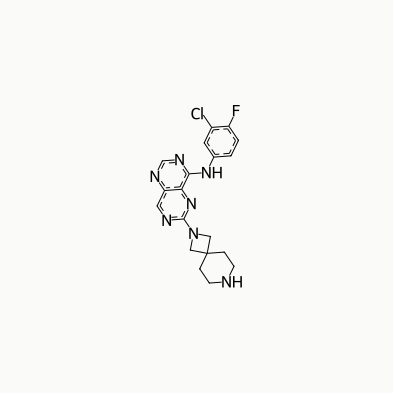 Fc1ccc(Nc2ncnc3cnc(N4CC5(CCNCC5)C4)nc23)cc1Cl